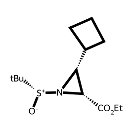 CCOC(=O)[C@H]1[C@@H](C2CCC2)N1[S@+]([O-])C(C)(C)C